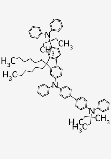 CCCCCCC1(CCCCCC)c2cc(N(c3ccccc3)c3ccc(-c4ccc(N(c5ccccc5)C(C)(CC)CC)cc4)cc3)ccc2-c2ccc(C(CC)(CC)N(c3ccccc3)c3ccccc3)cc21